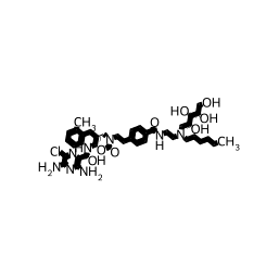 CCCCCCN(CCNC(=O)c1ccc(CCN(C[C@H](CNC(=O)c2nc(Cl)c(N)nc2N)Cc2ccccc2C)C(=O)O)cc1)C[C@H](O)[C@@H](O)[C@H](O)CO